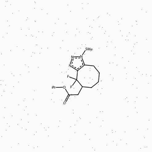 CSn1nnc2c1CCCCC(CC(=O)OC(C)C)C2(F)F